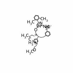 COCCn1cc(C2CCc3cccc(c3)[S+]([O-])Nc3nc(cc(-c4c(C)cccc4C)n3)OC[C@H]2CCC(C)C)cn1